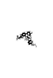 Cc1cc(NC(=O)C(=O)N2C[C@H](C)CC[C@H]2C2C=Cc3sc(CN(C)C)nc3C2)cnc1N